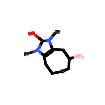 BC1CCCCC2=C(C1)N(C(C)C)C(O)N2C(C)C